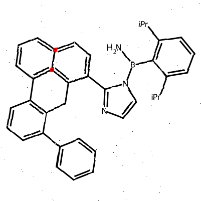 CC(C)c1cccc(C(C)C)c1B(N)n1ccnc1-c1ccccc1Cc1c(-c2ccccc2)cccc1-c1ccccc1